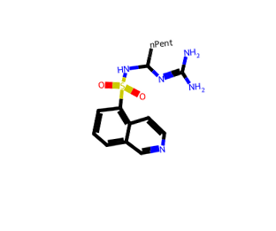 CCCCCC(N=C(N)N)NS(=O)(=O)c1cccc2cnccc12